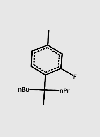 CCCCC(C)(CCC)c1ccc(C)cc1F